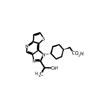 CC(O)c1nc2cnc3ccsc3c2n1[C@H]1CC[C@H](CC(=O)O)CC1